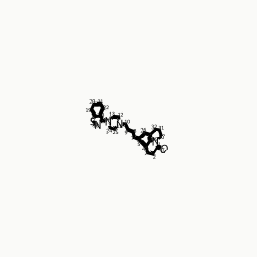 O=C1CCc2cc(CCCCN3CCN(c4nsc5ccccc45)CC3)cc3c2N1CCC3